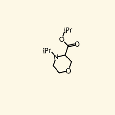 CC(C)OC(=O)C1COCCN1C(C)C